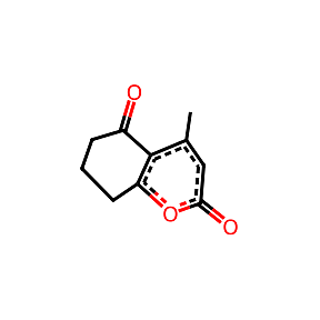 Cc1cc(=O)oc2c1C(=O)CCC2